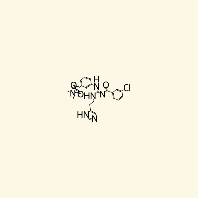 CN(C)S(=O)(=O)c1cccc(N/C(=N\C(=O)c2cccc(Cl)c2)NCCc2cnc[nH]2)c1